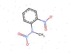 CN(c1ccccc1[N+](=O)[O-])[N+](=O)[O-]